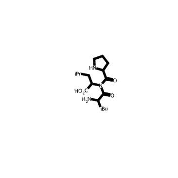 CCC(C)C(N)C(=O)N(C(=O)C1CCCN1)C(CC(C)C)C(=O)O